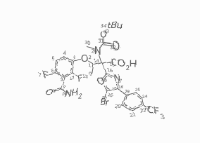 CC(Oc1ccc(F)c(C(N)=O)c1F)C(C(=O)O)(c1nc(-c2ccc(C(F)(F)F)cc2)c(Br)o1)N(C)C(=O)OC(C)(C)C